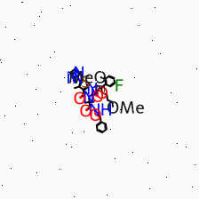 COCCCO[C@@H](Cn1c(=O)n(C(C)(C)C(=O)NOCc2ccccc2)c(=O)c2c(C)c(-n3nccn3)sc21)c1cc(F)ccc1OC